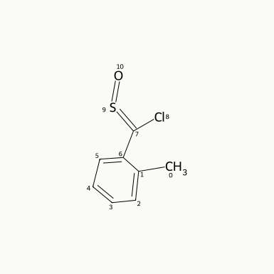 Cc1ccccc1C(Cl)=S=O